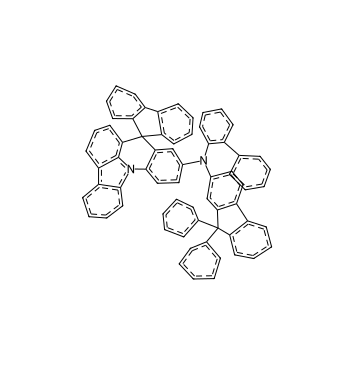 c1ccc(-c2ccccc2N(c2ccc3c(c2)C(c2ccccc2)(c2ccccc2)c2ccccc2-3)c2ccc3c(c2)C2(c4ccccc4-c4ccccc42)c2cccc4c5ccccc5n-3c24)cc1